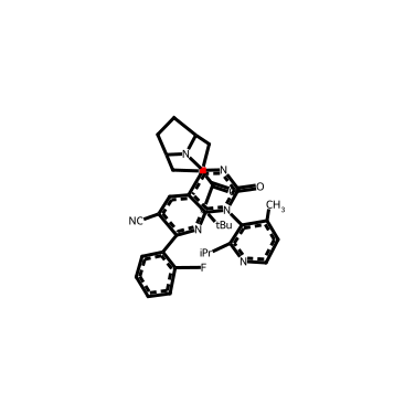 Cc1ccnc(C(C)C)c1-n1c(=O)nc(N2C3CCC2CN(C(=O)OC(C)(C)C)C3)c2cc(C#N)c(-c3ccccc3F)nc21